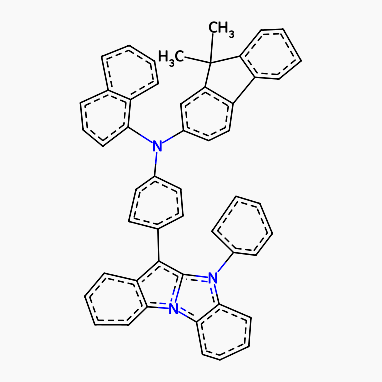 CC1(C)c2ccccc2-c2ccc(N(c3ccc(-c4c5ccccc5n5c6ccccc6n(-c6ccccc6)c45)cc3)c3cccc4ccccc34)cc21